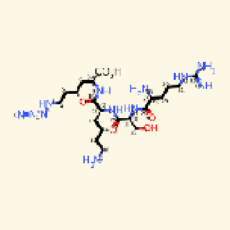 [N-]=[N+]=NNCCCC[C@H](NC(=O)[C@H](CCCCN)NC(=O)[C@H](CO)NC(=O)[C@@H](N)CCCNC(=N)N)C(=O)O